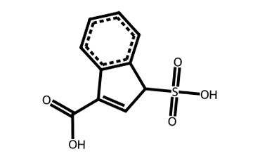 O=C(O)C1=CC(S(=O)(=O)O)c2ccccc21